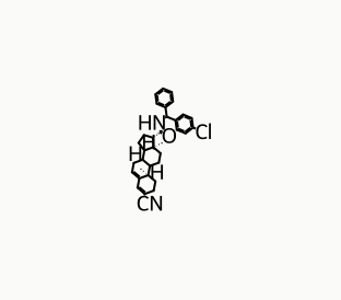 C[C@]12CC[C@H]3[C@@H](CC=C4C=C(C#N)CC[C@@]43C)[C@@H]1CC[C@@H]2C(=O)NC(c1ccccc1)c1ccc(Cl)cc1